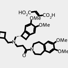 COc1cc2c(cc1OC)CCN(C(=O)CCN(CC1CCC1)C[C@H]1Cc3cc(OC)c(OC)cc31)CC2.O=C(O)C=CC(=O)O